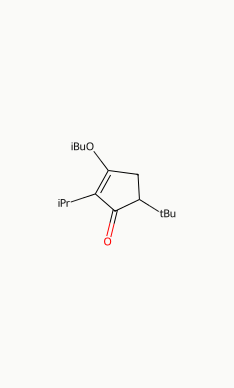 CC(C)COC1=C(C(C)C)C(=O)C(C(C)(C)C)C1